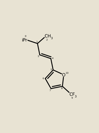 CC(C)C(C)/C=C/c1ccc(C(F)(F)F)o1